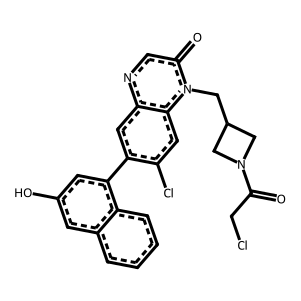 O=C(CCl)N1CC(Cn2c(=O)cnc3cc(-c4cc(O)cc5ccccc45)c(Cl)cc32)C1